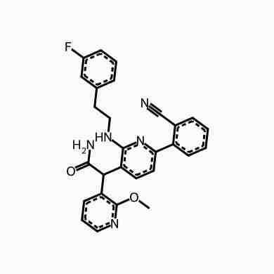 COc1ncccc1C(C(N)=O)c1ccc(-c2ccccc2C#N)nc1NCCc1cccc(F)c1